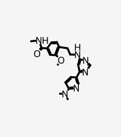 CNC(=O)c1ccc(CCNc2cc(-c3ccc(N(C)C)nc3)ncn2)c(OC)c1